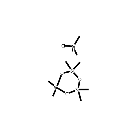 C[SiH](C)Cl.C[Si]1(C)O[Si](C)(C)O[Si](C)(C)O1